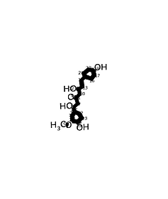 COc1cc(C(O)CC(=O)CC(O)/C=C/c2ccc(O)cc2)ccc1O